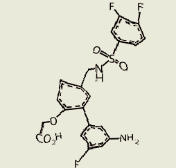 Nc1cc(F)cc(-c2cc(CNS(=O)(=O)c3ccc(F)c(F)c3)ccc2OCC(=O)O)c1